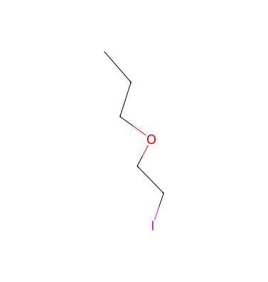 CCCOCCI